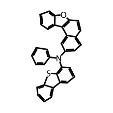 c1ccc(N(c2ccc3ccc4oc5ccccc5c4c3c2)c2cccc3c2sc2ccccc23)cc1